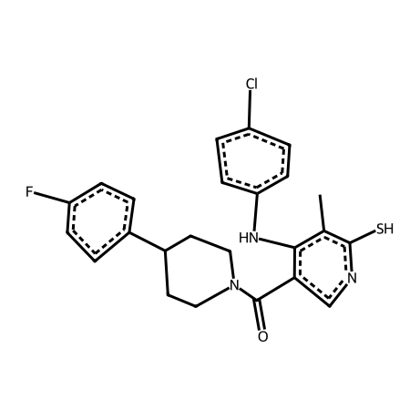 Cc1c(S)ncc(C(=O)N2CCC(c3ccc(F)cc3)CC2)c1Nc1ccc(Cl)cc1